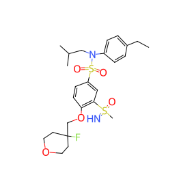 CCc1ccc(N(CC(C)C)S(=O)(=O)c2ccc(OCC3(F)CCOCC3)c(S(C)(=N)=O)c2)cc1